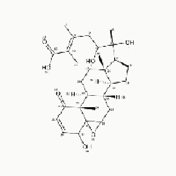 CC(CC(O)[C@](C)(O)[C@H]1CC[C@H]2[C@@H]3CC4OC45C(O)C=CC(=O)[C@]5(C)[C@H]3CC[C@@]21C)=C(C)C(=O)O